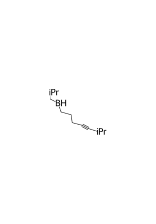 CC(C)C#CCCCBCC(C)C